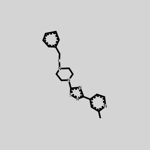 Cc1cc(-c2nsc(N3CCN(CCc4ccccc4)CC3)n2)ccn1